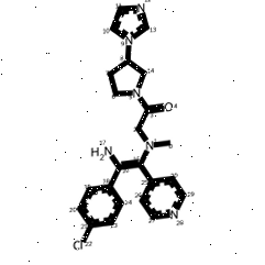 CN(CC(=O)N1CCC(n2ccnc2)C1)/C(=C(\N)c1ccc(Cl)cc1)c1ccncc1